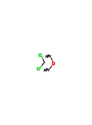 CCCOCCC.ClCCl